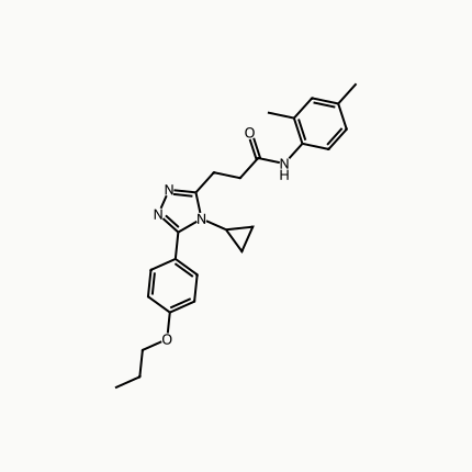 CCCOc1ccc(-c2nnc(CCC(=O)Nc3ccc(C)cc3C)n2C2CC2)cc1